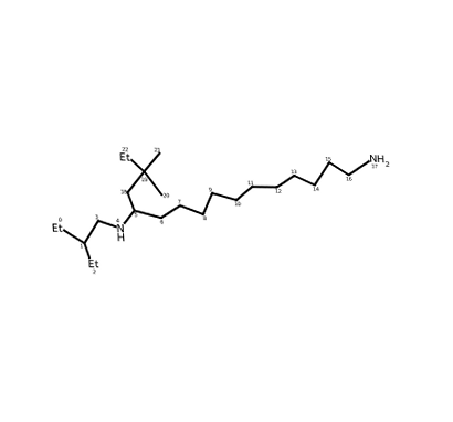 CCC(CC)CNC(CCCCCCCCCCCN)CC(C)(C)CC